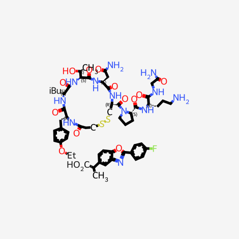 CC(C(=O)O)c1ccc2oc(-c3ccc(F)cc3)nc2c1.CCOc1ccc(C[C@H]2NC(=O)CCSSC[C@@H](C(=O)N3CCC[C@H]3C(=O)N[C@@H](CCCN)C(=O)NCC(N)=O)NC(=O)[C@H](CC(N)=O)NC(=O)[C@H]([C@@H](C)O)NC(=O)[C@H]([C@@H](C)CC)NC2=O)cc1